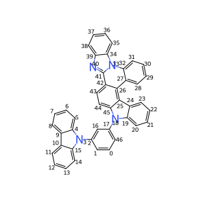 c1cc(-n2c3ccccc3c3ccccc32)cc(-n2c3ccccc3c3c4c5ccccc5n5c6ccccc6nc5c4ccc32)c1